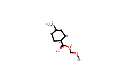 CCOCOC(=O)C1CCC(C(=O)O)CC1